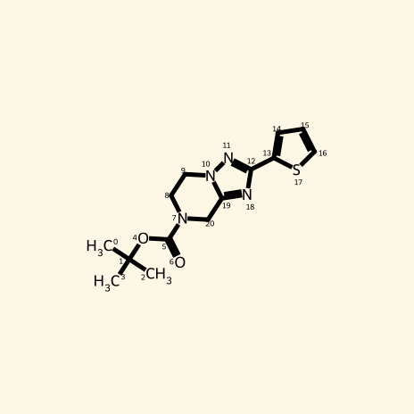 CC(C)(C)OC(=O)N1CCn2nc(-c3cccs3)nc2C1